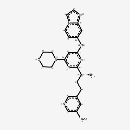 COc1cncc(CC[C@@H](N)c2nc(Nc3ccn4ccnc4c3)cc(N3CCOCC3)n2)c1